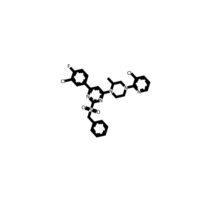 CC1CN(c2ncccc2Cl)CCN1c1cc(-c2ccc(F)c(Cl)c2)nc(S(=O)(=O)Cc2ccccc2)n1